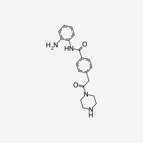 Nc1ccccc1NC(=O)c1ccc(CC(=O)N2CCNCC2)cc1